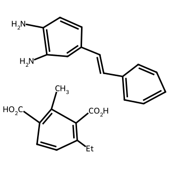 CCc1ccc(C(=O)O)c(C)c1C(=O)O.Nc1ccc(C=Cc2ccccc2)cc1N